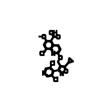 COc1cc(Cl)c2nc(OCc3c(-c4c(Cl)cncc4Cl)noc3C3CC3)ccc2c1C(=O)O